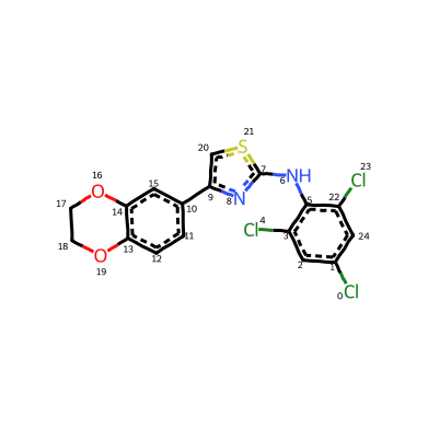 Clc1cc(Cl)c(Nc2nc(-c3ccc4c(c3)OCCO4)cs2)c(Cl)c1